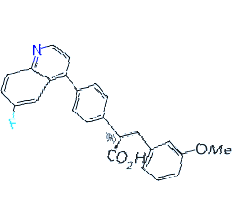 COc1cccc(C[C@@H](C(=O)O)c2ccc(-c3ccnc4ccc(F)cc34)cc2)c1